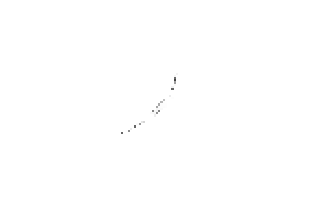 C/B=N/O